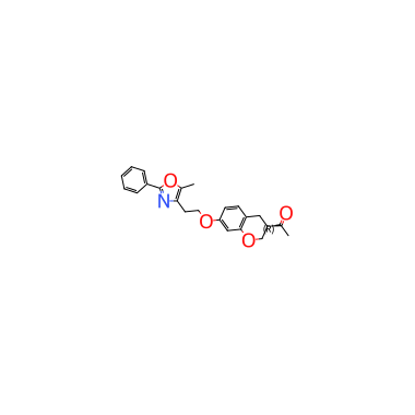 CC(=O)[C@H]1COc2cc(OCCc3nc(-c4ccccc4)oc3C)ccc2C1